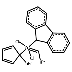 CCC[C]1([Zr]([Cl])([Cl])(=[CH]C(C)C)[CH]2c3ccccc3-c3ccccc32)C=CC=C1